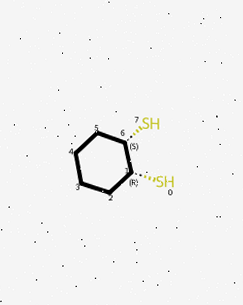 S[C@@H]1CCCC[C@@H]1S